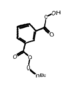 CCCCOOC(=O)c1cccc(C(=O)OO)c1